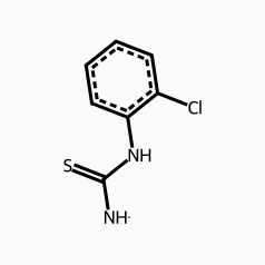 [NH]C(=S)Nc1ccccc1Cl